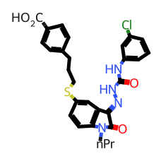 CCCN1C(=O)/C(=N/NC(=O)Nc2cccc(Cl)c2)c2cc(SCCCc3ccc(C(=O)O)cc3)ccc21